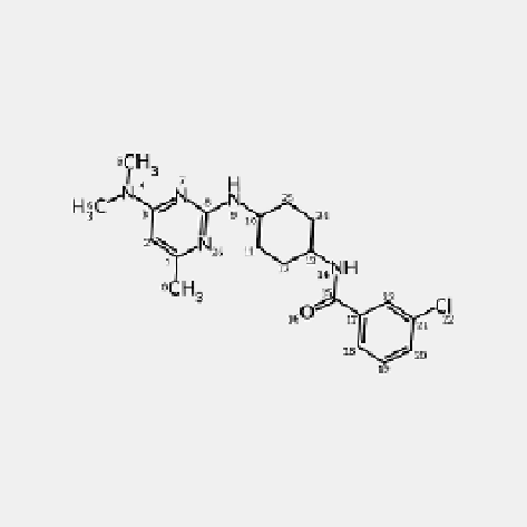 Cc1cc(N(C)C)nc(NC2CCC(NC(=O)c3cccc(Cl)c3)CC2)n1